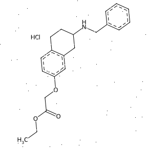 CCOC(=O)COc1ccc2c(c1)CC(NCc1ccccc1)CC2.Cl